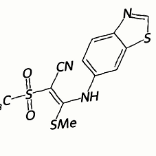 CSC(Nc1ccc2ncsc2c1)=C(C#N)S(C)(=O)=O